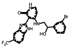 O=c1[nH]ccc(NCC(O)c2cccc(Br)c2)c1-c1nc2cc(C(F)(F)F)ccc2[nH]1